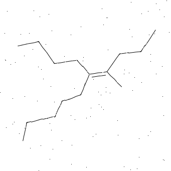 CCCCC/C(CCCC)=C(\C)CCC